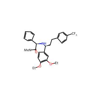 CCOc1ccc([C@H](CCc2ccc(C(F)(F)F)cc2)N[C@@H](C(=O)NC)c2ccccc2)cc1OCC